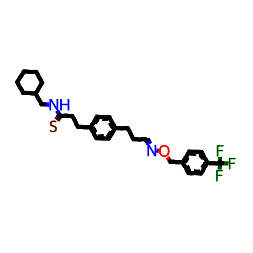 FC(F)(F)c1ccc(CON=CCCc2ccc(CCC(=S)NCC3CCCCC3)cc2)cc1